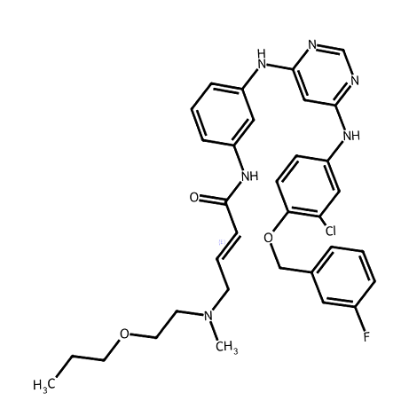 CCCOCCN(C)C/C=C/C(=O)Nc1cccc(Nc2cc(Nc3ccc(OCc4cccc(F)c4)c(Cl)c3)ncn2)c1